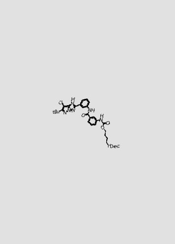 CCCCCCCCCCCCCCOC(=O)Nc1cccc(C(=O)Nc2cccc(-c3nn4nc(C(C)(C)C)c(Cl)c4[nH]3)c2)c1